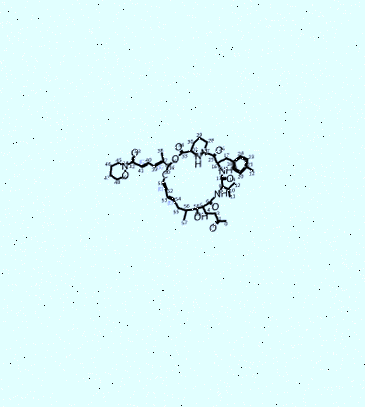 CC(=O)CCC1C(=O)NC(C(C)C)C(=O)NC(Cc2ccc(C)cc2)C(=O)N2CCCC(N2)C(=O)O[C@H](/C(C)=C/C=C/C(=O)N2CCCCO2)C/C=C/C=C/CC(C)C1O